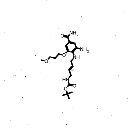 COCCCOc1cc(C(N)=O)cc(N)c1NC/C=C/CNC(=O)OC(C)(C)C